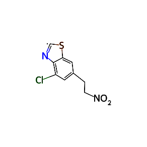 O=[N+]([O-])CCc1cc(Cl)c2n[c]sc2c1